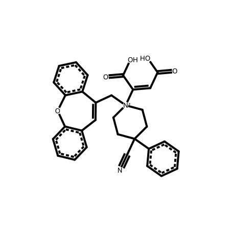 N#CC1(c2ccccc2)CC[N+](CC2=Cc3ccccc3Oc3ccccc32)(/C(=C/C(=O)O)C(=O)O)CC1